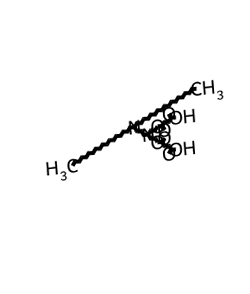 CCCCCCCCCCCCCCCCCCN(CCCCCCCCCCCCCCCCCC)CCCN(CCOC(=O)CCC(=O)O)CCOC(=O)CCC(=O)O